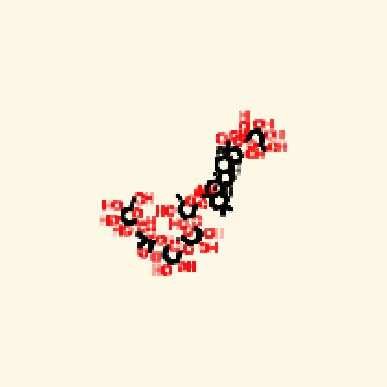 C[C@@H]1O[C@@H](O[C@H]2[C@H](OC(=O)[C@]34CCC(C)(C)C[C@H]3C3=CC[C@@H]5[C@@]6(C)C[C@H](O)[C@H](O[C@@H]7O[C@H](CO)[C@@H](O)[C@H](O)[C@H]7O)[C@@](C)(C(=O)O)[C@@H]6CC[C@@]5(C)[C@]3(CO)CC4)O[C@H](C)[C@H](O)[C@@H]2O)[C@H](O)[C@H](O)[C@H]1O[C@@H]1OC[C@@H](O[C@@H]2OC[C@](O)(CO[C@@H]3O[C@H](CO)[C@H](O)[C@H](O)[C@H]3O)[C@H]2O)[C@H](O)[C@H]1O